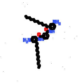 CCCCCCCCCCCCc1cc(N)ccc1NC(=O)c1cccc(C(=O)Nc2ccc(N)cc2CCCCCCCCCCCC)c1